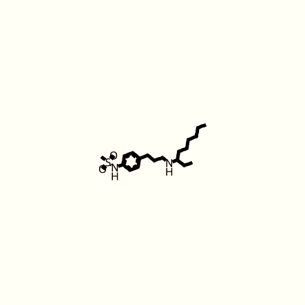 CCCCCCC(CC)NCCCc1ccc(NS(C)(=O)=O)cc1